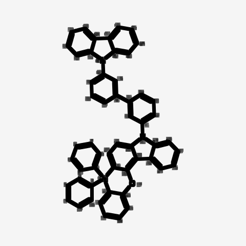 c1ccc([Si]2(c3ccccc3)c3ccccc3Oc3c2ccc2c3c3ccccc3n2-c2cccc(-c3cccc(-n4c5ccccc5c5ccccc54)c3)c2)cc1